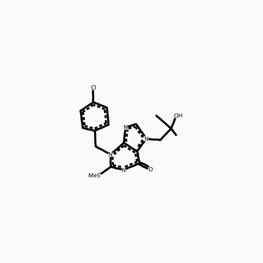 CSc1nc(=O)c2c(ncn2CC(C)(C)O)n1Cc1ccc(Cl)cc1